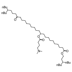 CCCCC(CCCC)CCCC(=O)CCCCCCCCCC(CCCCCCCCCC(=O)OCCC(CCCC)CCCC)OC(=O)CCCN(C)C